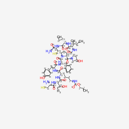 C=CCOC(=O)NCCCC[C@H](NC(=O)[C@@H](NC(=O)[C@@H](N)CS)[C@@H](C)O)C(=O)N[C@@H](Cc1ccc(O)cc1)C(=O)N[C@@H](Cc1ccccc1)C(=O)N1CCC[C@H]1C(=O)N1C[C@H](O)C[C@H]1C(=O)N[C@H](C(=O)N[C@@H](CCC)C(=O)N[C@@H](CS)C(N)=O)[C@@H](C)CC